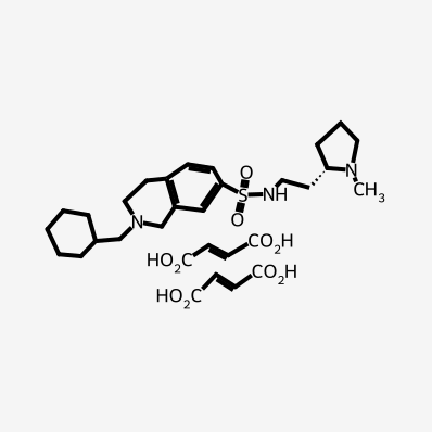 CN1CCC[C@H]1CCNS(=O)(=O)c1ccc2c(c1)CN(CC1CCCCC1)CC2.O=C(O)C=CC(=O)O.O=C(O)C=CC(=O)O